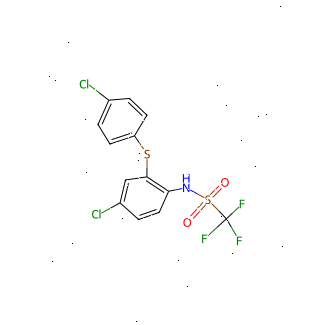 O=S(=O)(Nc1ccc(Cl)cc1Sc1ccc(Cl)cc1)C(F)(F)F